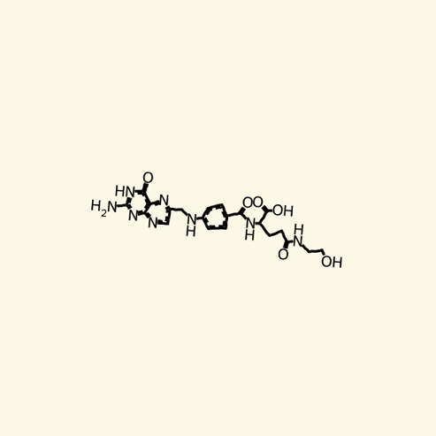 Nc1nc2ncc(CNc3ccc(C(=O)NC(CCC(=O)NCCO)C(=O)O)cc3)nc2c(=O)[nH]1